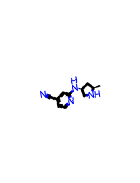 C[C@@H]1C[C@@H](Nc2cc(C#N)ccn2)CN1